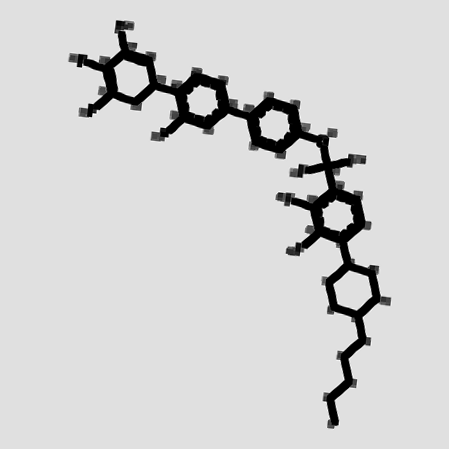 CCCCCC1CCC(c2ccc(C(F)(F)Oc3ccc(-c4ccc(C5C=C(F)C(F)=C(F)C5)c(F)c4)cc3)c(F)c2F)CC1